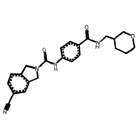 N#Cc1ccc2c(c1)CN(C(=O)Nc1ccc(C(=O)NCC3CCCOC3)cc1)C2